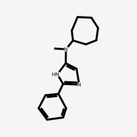 CN(c1cnc(-c2ccccc2)[nH]1)C1CCCCCC1